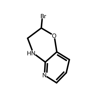 BrC1CNc2ncccc2O1